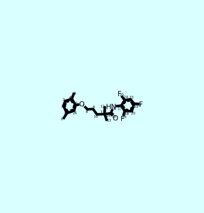 Cc1ccc(C)c(OCCCC(C)(C)C(=O)Nc2c(F)cc(F)cc2F)c1